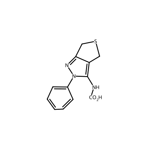 O=C(O)Nc1c2c(nn1-c1ccccc1)CSC2